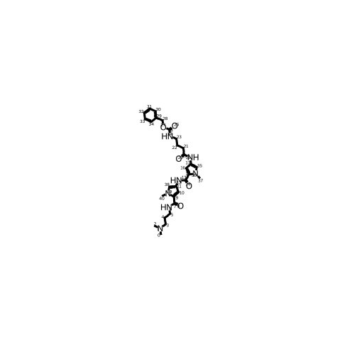 CN(C)CCCNC(=O)c1cc(NC(=O)c2cc(NC(=O)CCCNC(=O)OCc3ccccc3)cn2C)cn1C